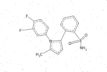 Cc1ccc(-c2ccccc2S(N)(=O)=O)n1-c1ccc(F)c(F)c1